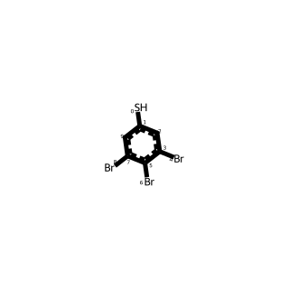 Sc1cc(Br)c(Br)c(Br)c1